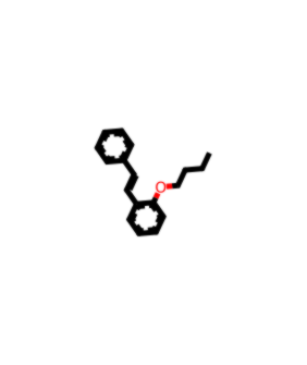 CCCCOc1ccccc1C=Cc1ccccc1